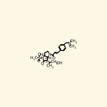 CC(C)[C@H]1C(=O)N(S(C)(=O)=O)[C@H]2CCN(C(=O)/C=C/c3ccc(CN(C)C)cc3)[C@H]12.Cl